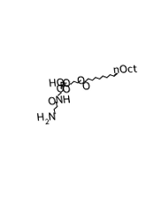 CCCCCCCC/C=C\CCCCCCCC(=O)OCCCOP(=O)(O)OCCNC(=O)CCCN